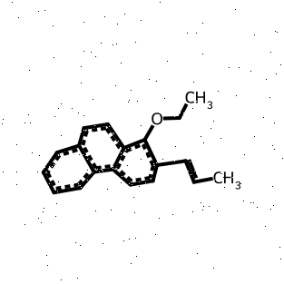 CC=Cc1ccc2c(ccc3ccccc32)c1OCC